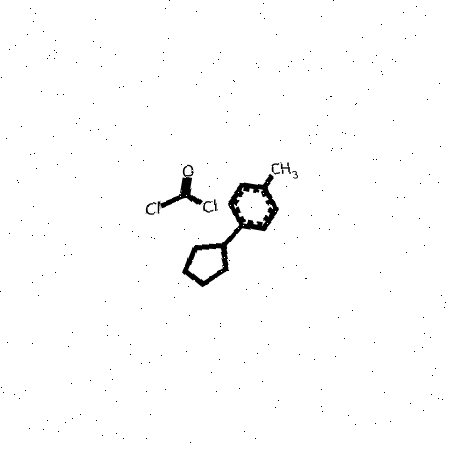 Cc1ccc(C2CCCC2)cc1.O=C(Cl)Cl